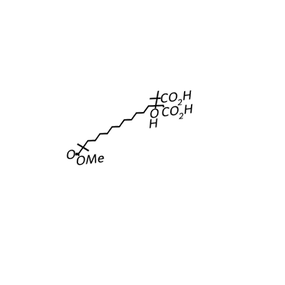 COC(=O)C(C)(C)CCCCCCCCCCCC(O)(CC(=O)O)C(C)(C)C(=O)O